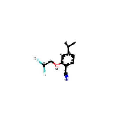 CC(C)c1ccc(C#N)c(OCC(F)F)c1